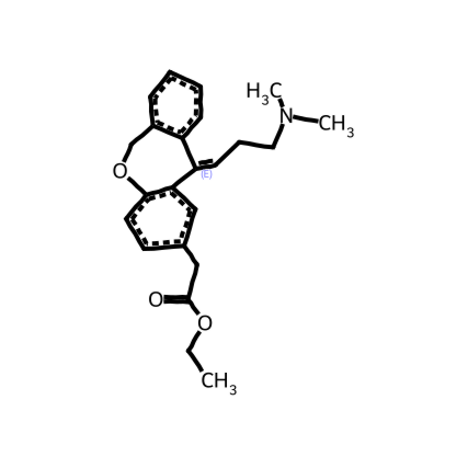 CCOC(=O)Cc1ccc2c(c1)/C(=C/CCN(C)C)c1ccccc1CO2